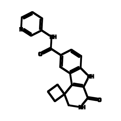 O=C(Nc1cccnc1)c1ccc2[nH]c3c(c2c1)C1(CCC1)CNC3=O